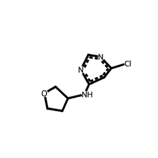 Clc1cc(NC2CCOC2)ncn1